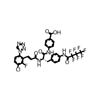 O=C(/C=C/c1c(-n2cnnn2)ccc(Cl)c1F)N[C@@H](Cc1ccc(NC(=O)C(F)(F)C(F)(F)C(F)(F)F)cc1)C(=O)Nc1ccc(C(=O)O)cc1